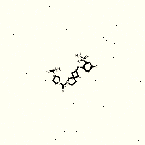 CS(=O)(=O)c1cc(Cl)ccc1CC1CC2(CCN(C(=O)N3CC[C@H](C(N)=O)C3)C2)C1